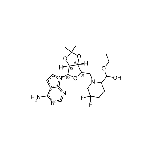 CCOC(O)C1CCC(F)(F)CN1C[C@H]1O[C@@H](n2ccc3c(N)ncnc32)[C@@H]2OC(C)(C)O[C@@H]21